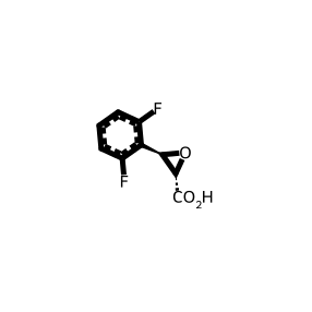 O=C(O)[C@H]1O[C@@H]1c1c(F)cccc1F